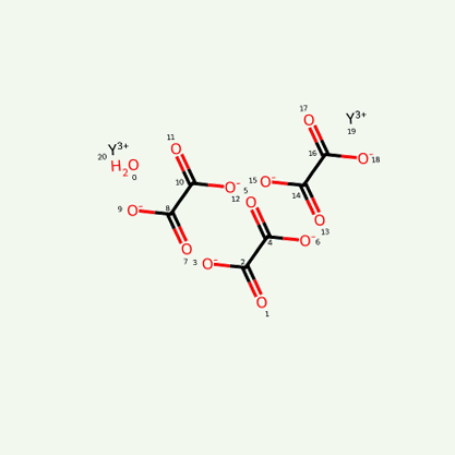 O.O=C([O-])C(=O)[O-].O=C([O-])C(=O)[O-].O=C([O-])C(=O)[O-].[Y+3].[Y+3]